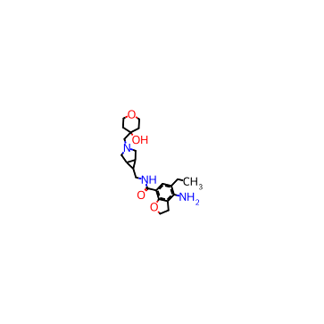 CCc1cc(C(=O)NCC2C3CN(CC4(O)CCOCC4)CC23)c2c(c1N)CCO2